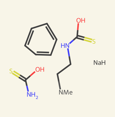 CNCCNC(O)=S.NC(O)=S.[NaH].c1ccccc1